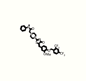 COc1cc(C=C2SC(N3CCN(CC(=O)N(C)c4ccccc4)CC3)=NC2=O)ccc1OCc1ccc(C(F)(F)F)cc1C(F)(F)F